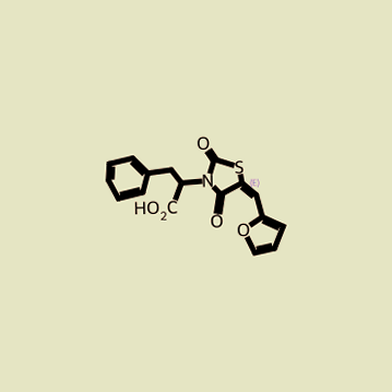 O=C(O)C(Cc1ccccc1)N1C(=O)S/C(=C/c2ccco2)C1=O